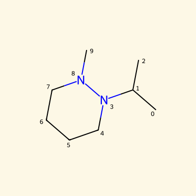 CC(C)N1CCCCN1C